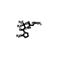 C=C1CCCN1C(=O)[C@@H](NC(=O)CNC)C(C)(C)C